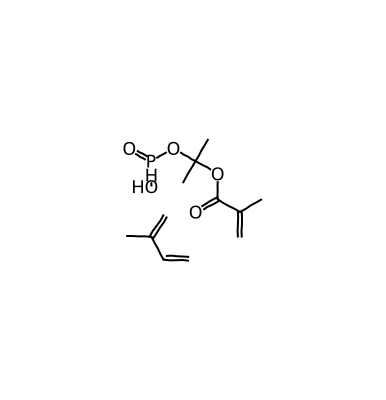 C=C(C)C(=O)OC(C)(C)O[PH](=O)O.C=CC(=C)C